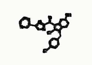 O=C(c1ncc(-c2cccnc2)o1)c1c(Cl)n(Cc2ccc(Cl)cc2)c2ccc(O)cc12